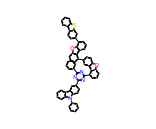 c1ccc(-c2nc(-c3ccc4c(c3)c3ccccc3n4-c3ccccc3)nc(-c3cccc4oc5ccc(-c6cccc7oc8c(-c9ccc%10c(c9)sc9ccccc9%10)cccc8c67)cc5c34)n2)cc1